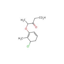 CC1=C(OC(C)C(=O)CC(=O)O)C=CCC1Cl